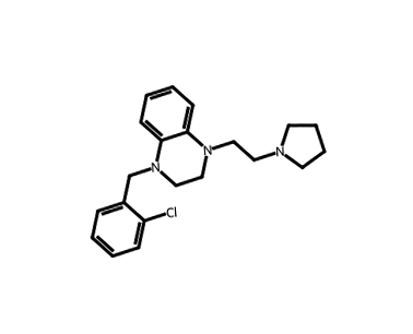 Clc1ccccc1CN1CCN(CCN2CCCC2)c2ccccc21